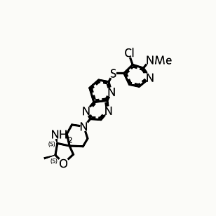 CNc1nccc(Sc2ccc3nc(N4CCC5(CC4)CO[C@@H](C)[C@H]5N)cnc3n2)c1Cl